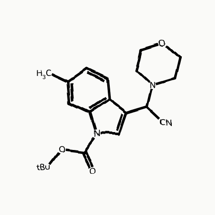 Cc1ccc2c(C(C#N)N3CCOCC3)cn(C(=O)OC(C)(C)C)c2c1